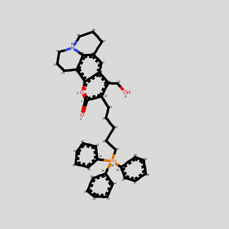 O=c1oc2c3c4c(cc2c(CO)c1CCCCC[PH](c1ccccc1)(c1ccccc1)c1ccccc1)CCCN4CCC3